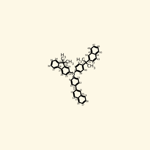 CC(C)(c1ccc(N(c2ccc(-c3ccc4ccccc4c3)cc2)c2ccc3c(c2)C(C)(C)c2ccccc2-3)cc1)c1ccc2ccccc2c1